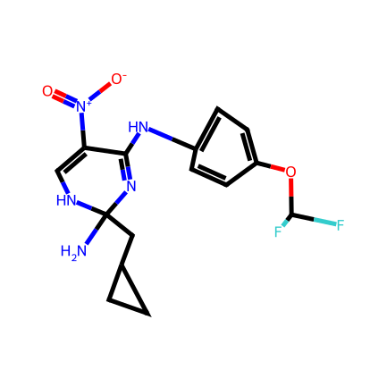 NC1(CC2CC2)N=C(Nc2ccc(OC(F)F)cc2)C([N+](=O)[O-])=CN1